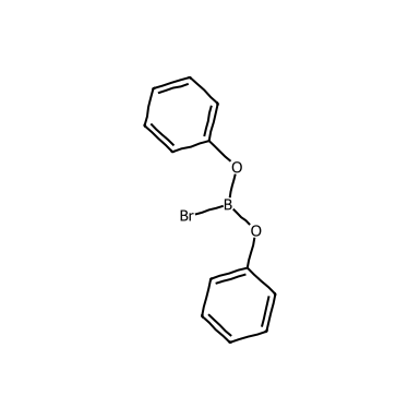 BrB(Oc1ccccc1)Oc1ccccc1